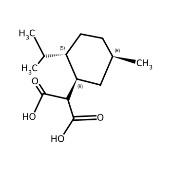 CC(C)[C@@H]1CC[C@@H](C)C[C@H]1C(C(=O)O)C(=O)O